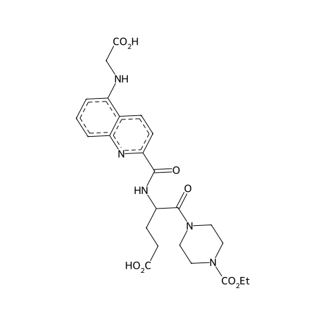 CCOC(=O)N1CCN(C(=O)C(CCC(=O)O)NC(=O)c2ccc3c(NCC(=O)O)cccc3n2)CC1